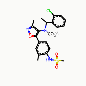 Cc1cc(-c2onc(C)c2N(C(=O)O)C(C)c2ccccc2Cl)ccc1NS(C)(=O)=O